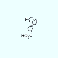 O=C(O)CC1CCC[C@H](c2ccnc3ccc(F)cc23)C1